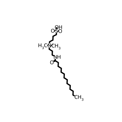 CCCCCCCCCCCCCC(=O)NCCC[N+](C)(C)CCCCS(=O)(=O)O